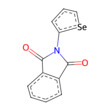 O=C1c2ccccc2C(=O)N1c1ccc[se]1